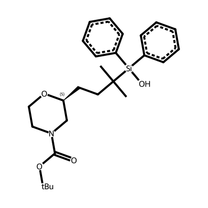 CC(C)(C)OC(=O)N1CCO[C@@H](CCC(C)(C)[Si](O)(c2ccccc2)c2ccccc2)C1